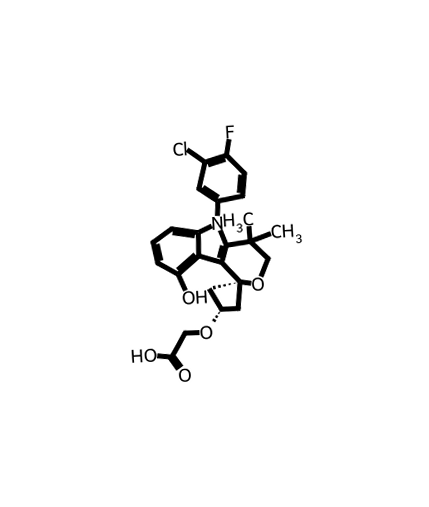 CC1(C)CO[C@]2(C[C@@H](OCC(=O)O)C2)c2c1n(-c1ccc(F)c(Cl)c1)c1cccc(O)c12